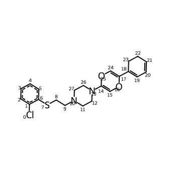 Clc1ccccc1SCCN1CCN(C2=COC(C3=CC=CCC3)=CO2)CC1